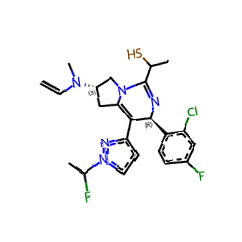 C=CN(C)[C@H]1CC2=C(c3ccn(C(C)F)n3)[C@H](c3ccc(F)cc3Cl)N=C(C(C)S)N2C1